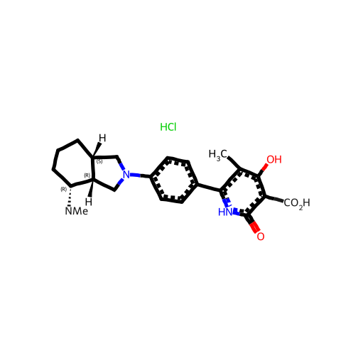 CN[C@@H]1CCC[C@@H]2CN(c3ccc(-c4[nH]c(=O)c(C(=O)O)c(O)c4C)cc3)C[C@@H]21.Cl